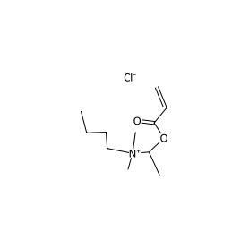 C=CC(=O)OC(C)[N+](C)(C)CCCC.[Cl-]